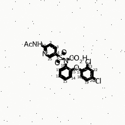 CC(=O)Nc1ccc(S(=O)(=O)N(C(=O)O)c2ccccc2Oc2ccc(Cl)cc2Cl)cn1